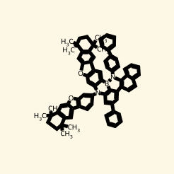 CC1(C)CCC(C)(C)c2cc3c(cc21)oc1cc(N2c4cc5oc6cc7c(cc6c5cc4B4c5c(cc(-c6ccccc6)cc52)-c2ccc5ccccc5c2N4c2ccc(-c4ccccc4)cc2)C(C)(C)CCC7(C)C)ccc13